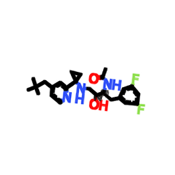 CC(=O)N[C@@H](Cc1cc(F)cc(F)c1)[C@H](O)CNC1(c2cc(CC(C)(C)C)ccn2)CC1